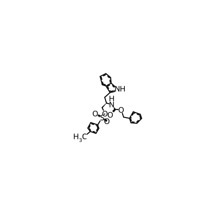 Cc1ccc(S(=O)(=O)OC[C@@H](Cc2c[nH]c3ccccc23)NC(=O)OCc2ccccc2)cc1